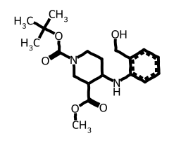 COC(=O)C1CN(C(=O)OC(C)(C)C)CCC1Nc1ccccc1CO